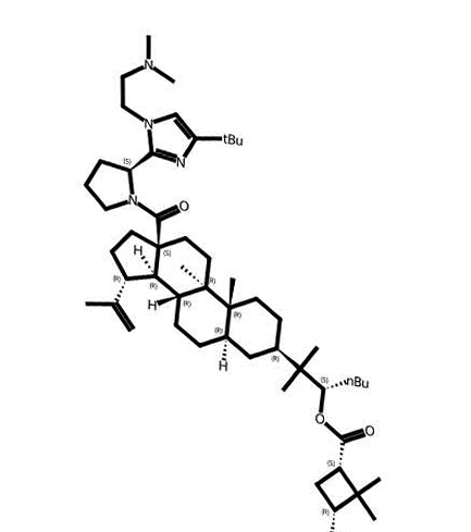 C=C(C)[C@@H]1CC[C@]2(C(=O)N3CCC[C@H]3c3nc(C(C)(C)C)cn3CCN(C)C)CC[C@]3(C)[C@H](CC[C@@H]4C[C@H](C(C)(C)[C@H](CCCC)OC(=O)[C@H]5C[C@@H](C(=O)O)C5(C)C)CC[C@]43C)[C@@H]12